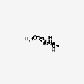 Nc1ccc(CN2CCN(c3nccc(Nc4cc(C5CC5)[nH]n4)n3)CC2)cc1